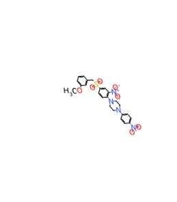 COc1cccc(CS(=O)(=O)c2ccc(N3CCN(c4ccc([N+](=O)[O-])cc4)CC3)c([N+](=O)[O-])c2)c1